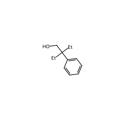 CCC(CC)(CO)c1ccccc1